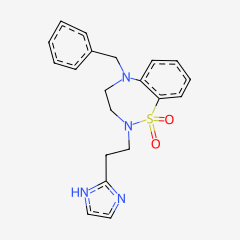 O=S1(=O)c2ccccc2N(Cc2ccccc2)CCN1CCc1ncc[nH]1